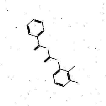 [CH2]c1c(C)cccc1NC(=S)NC(=O)c1ccccc1